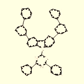 c1ccc(-c2cccc(-c3ccc4c(c3)c3cc(-c5cccc(-c6ccccc6)c5)ccc3n4-c3nc(-c4ccccc4)nc(-c4ccccc4)n3)c2)cc1